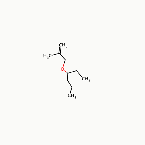 C=C(C)COC([CH]CC)CC